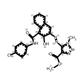 COC(=O)c1nnn(C)c1/N=N/c1cc2ccccc2c(C(=O)Nc2ccc(Cl)cc2)c1O